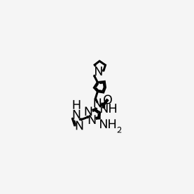 Nc1nc(-c2ncc[nH]2)nc2c1[nH]c(=O)n2Cc1cccc(CN2CCCC2)c1